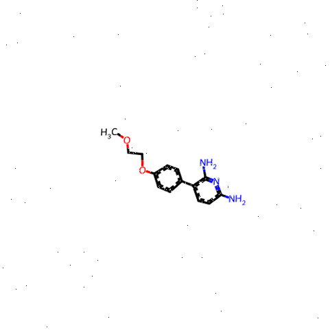 COCCOc1ccc(-c2ccc(N)nc2N)cc1